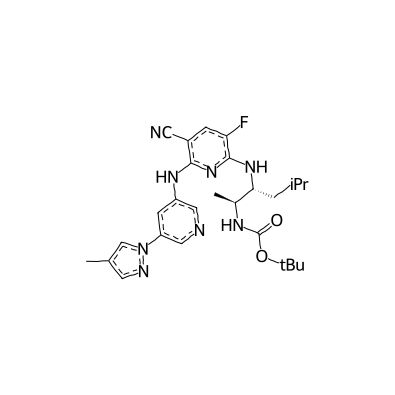 Cc1cnn(-c2cncc(Nc3nc(N[C@H](CC(C)C)[C@H](C)NC(=O)OC(C)(C)C)c(F)cc3C#N)c2)c1